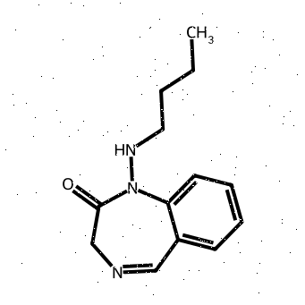 CCCCNN1C(=O)CN=Cc2ccccc21